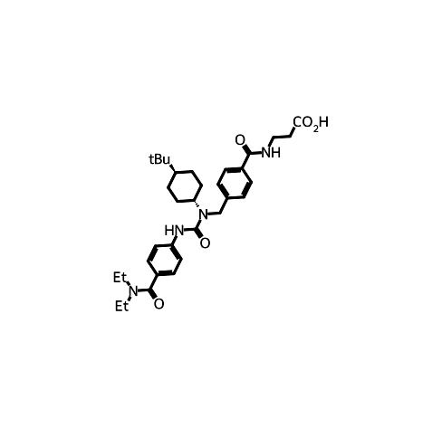 CCN(CC)C(=O)c1ccc(NC(=O)N(Cc2ccc(C(=O)NCCC(=O)O)cc2)[C@H]2CC[C@H](C(C)(C)C)CC2)cc1